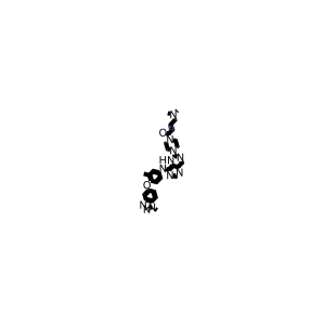 Cc1cc(Nc2ncnc3cnc(N4CCN(C(=O)/C=C/CN(C)C)CC4)nc23)ccc1Oc1ccc2c(c1)nnn2C